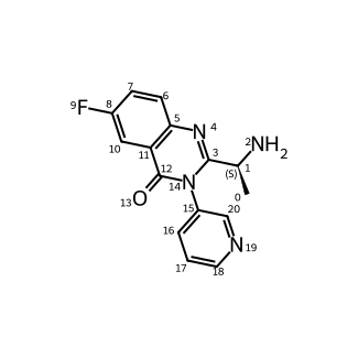 C[C@H](N)c1nc2ccc(F)cc2c(=O)n1-c1cccnc1